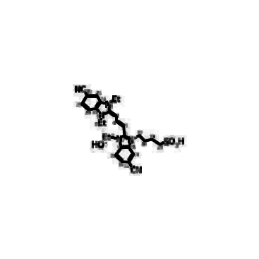 CCN1C(=CC=Cc2n(CC)c3ccc(C#N)cc3[n+]2CCCCS(=O)(=O)O)N(CC)c2cc(C#N)ccc21.[OH-]